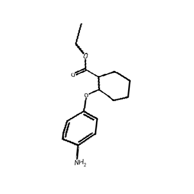 CCOC(=O)C1CCCCC1Oc1ccc(N)cc1